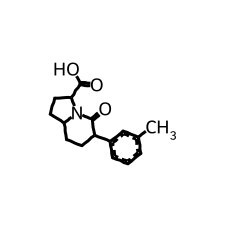 Cc1cccc(C2CCC3CCC(C(=O)O)N3C2=O)c1